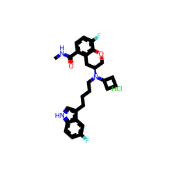 CNC(=O)c1ccc(F)c2c1C[C@H](N(CCCCc1c[nH]c3ccc(F)cc13)C1CCC1)CO2.Cl